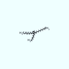 CCCCCCCCCCn1cc[n+](CCCCCCCC)c1CCCCCC